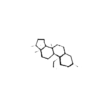 CC(=O)OC[C@]12CC[C@H](OC(C)=O)C[C@@H]1CC[C@H]1[C@@H]3CC[C@H](O)[C@@]3(C)CC[C@@H]12